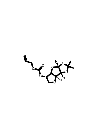 C=CCOC(=O)O[C@@H]1CO[C@H]2C1O[C@@H]1OC(C)(C)O[C@@H]12